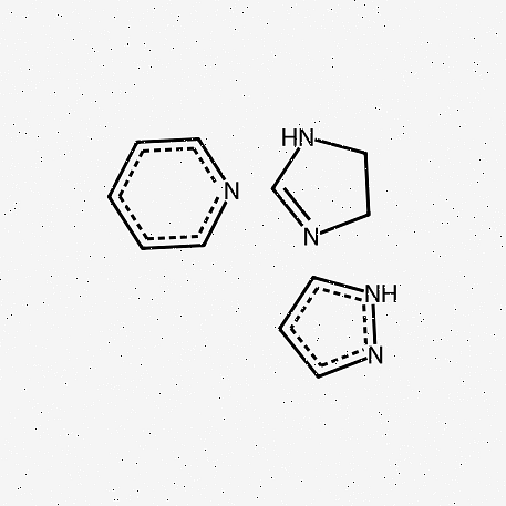 C1=NCCN1.c1ccncc1.c1cn[nH]c1